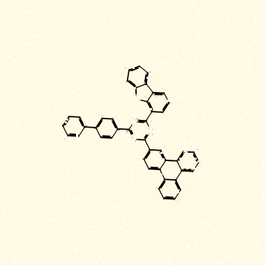 c1ccc(-c2ccc(-c3nc(-c4ccc5c6ccccc6c6ccccc6c5c4)nc(-c4cccc5c4oc4ccccc45)n3)cc2)cc1